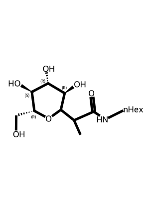 CCCCCCNC(=O)C(C)C1O[C@H](CO)[C@@H](O)[C@H](O)[C@H]1O